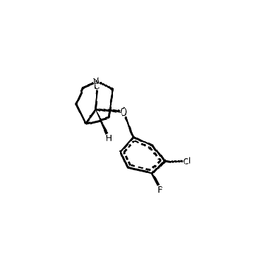 Fc1ccc(O[C@H]2CN3CCC2CC3)cc1Cl